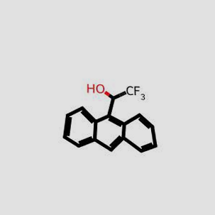 OC(c1c2ccccc2cc2ccccc12)C(F)(F)F